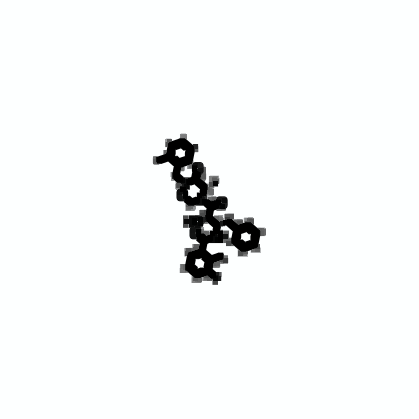 Cc1ccccc1CN1OCN(C(=O)[C@@H](O)[C@H](Cc2ccccc2)NC(=O)c2cccc(F)c2C)[C@@H](C)C1=O